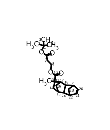 CC(C)(C)OC(=O)CCOC(=O)C1(C)CC2CC1C1C3C=CC(C3)C21